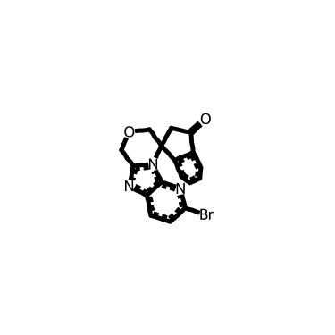 O=C1CC2(COCc3nc4ccc(Br)nc4n32)c2ccccc21